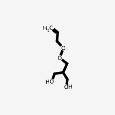 C=CCOOCC(CO)CO